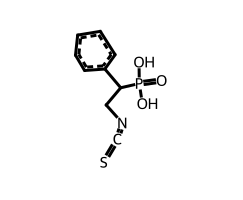 O=P(O)(O)C(CN=C=S)c1ccccc1